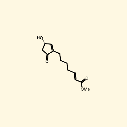 COC(=O)C=CCCCCC1=C[C@@H](O)CC1=O